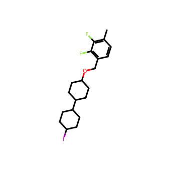 Cc1ccc(COC2CCC(C3CCC(I)CC3)CC2)c(F)c1F